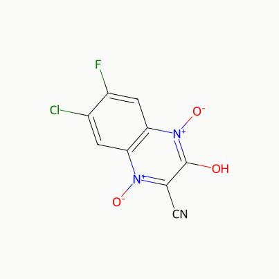 N#Cc1c(O)[n+]([O-])c2cc(F)c(Cl)cc2[n+]1[O-]